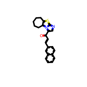 O=C(C=Cc1ccc2ccccc2c1)c1cnc2sc3c(n12)CCCCC3